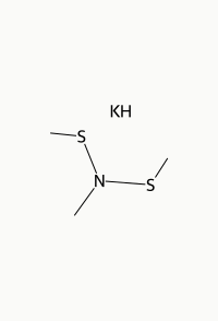 CSN(C)SC.[KH]